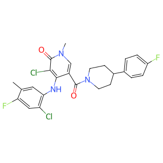 Cc1cc(Nc2c(C(=O)N3CCC(c4ccc(F)cc4)CC3)cn(C)c(=O)c2Cl)c(Cl)cc1F